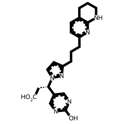 O=C(O)C[C@@H](c1cnc(O)nc1)n1ccc(CCCc2ccc3c(n2)NCCC3)n1